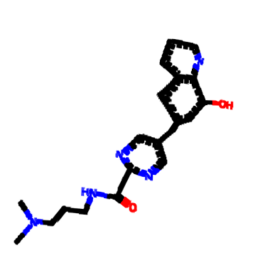 CN(C)CCCNC(=O)c1ncc(-c2cc(O)c3ncccc3c2)cn1